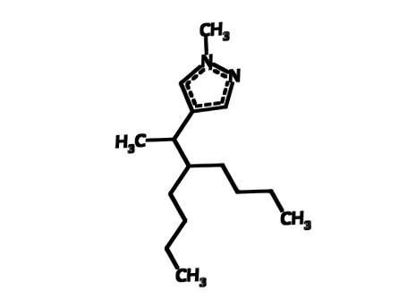 CCCCC(CCCC)C(C)c1cnn(C)c1